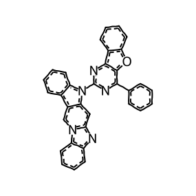 c1ccc(-c2nc(-n3c4ccccc4c4cn5c(cc43)nc3ccccc35)nc3c2oc2ccccc23)cc1